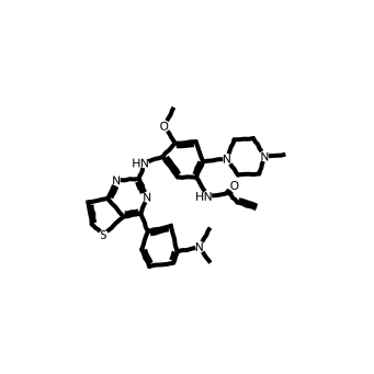 C=CC(=O)Nc1cc(Nc2nc(-c3cccc(N(C)C)c3)c3sccc3n2)c(OC)cc1N1CCN(C)CC1